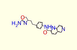 NC1=NC(CCc2ccc(NC(=O)c3ccc4cnccc4n3)cc2)CO1